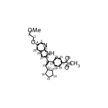 COCCOc1cnc2[nH]c(/C(=C/C3CCCC3)c3ccc(S(C)(=O)=O)cc3)cc2c1